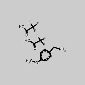 COc1ccc(CN)cc1.O=C(O)C(F)(F)F.O=C(O)C(F)(F)F